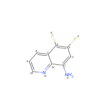 Nc1cc(F)c(F)c2cccnc12